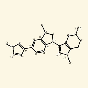 CC(=O)N1CCc2c(c(N3CC(C)c4cc(-c5cnn(C)c5)ccc43)nn2C)C1